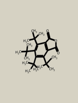 CC(C)(C)c1c2c(c(C(C)(C)C)c(C(C)(C)C)c1C(C)(C)C)C(=O)OC2=O